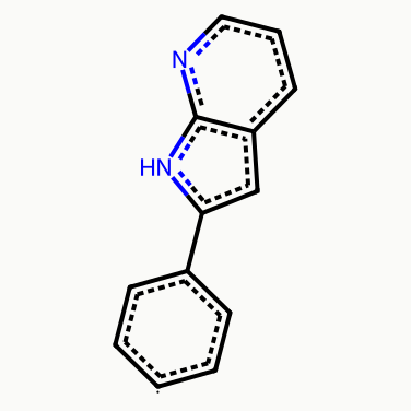 [c]1ccc(-c2cc3cccnc3[nH]2)cc1